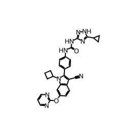 N#Cc1c(-c2ccc(NC(=O)Nc3n[nH]c(C4CC4)n3)cc2)n(C2CCC2)c2cc(Oc3ncccn3)ccc12